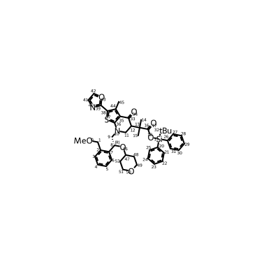 COCc1ccccc1[C@H](CN1CC(C(C)(C)C(=O)O[Si](c2ccccc2)(c2ccccc2)C(C)(C)C)C(=O)c2c1sc(-c1ncco1)c2C)OC1CCOCC1